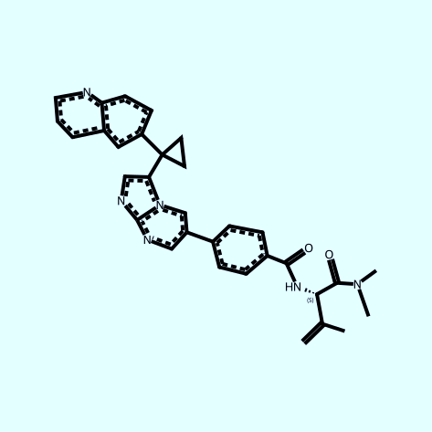 C=C(C)[C@H](NC(=O)c1ccc(-c2cnc3ncc(C4(c5ccc6ncccc6c5)CC4)n3c2)cc1)C(=O)N(C)C